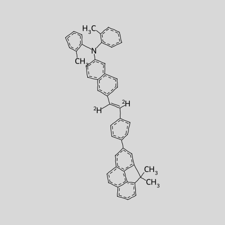 [2H]/C(=C(/[2H])c1ccc2cc(N(c3ccccc3C)c3ccccc3C)ccc2c1)c1ccc(-c2cc3c4c(ccc5cccc(c54)C3(C)C)c2)cc1